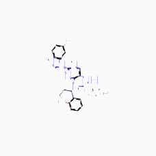 CSC1Nc2cnc(-n3cnc4ccc(F)cc43)nc2N1C1CCOc2c(F)cccc21